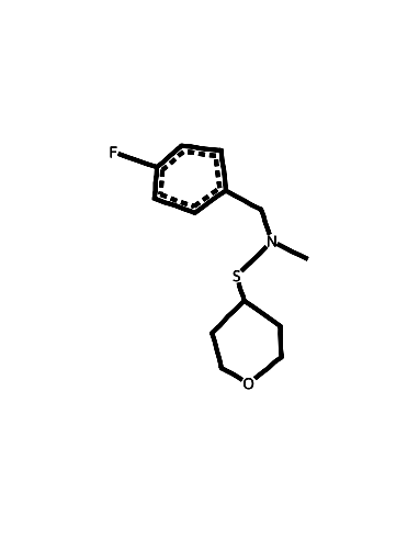 CN(Cc1ccc(F)cc1)SC1CCOCC1